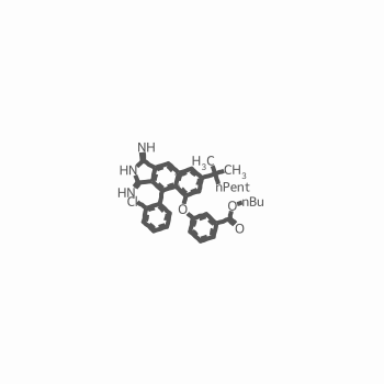 CCCCCC(C)(C)c1cc(Oc2cccc(C(=O)OCCCC)c2)c2c(-c3ccccc3Cl)c3c(cc2c1)C(=N)NC3=N